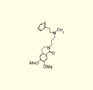 COc1cc2c(cc1OC)C(=O)N(CCCN(C)CCc1cccs1)CC2